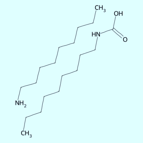 CCCCCCCCCN.CCCCCCCCCNC(=O)O